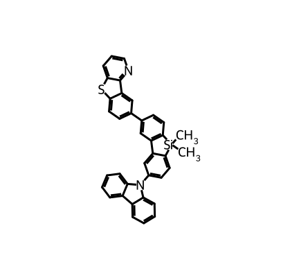 C[Si]1(C)c2ccc(-c3ccc4sc5cccnc5c4c3)cc2-c2cc(-n3c4ccccc4c4ccccc43)ccc21